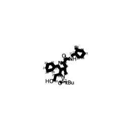 CC(C)(C)[S@@+]([O-])N1Cc2cc(C(=O)NCc3ccccc3F)nc(-c3ccccc3)c2C1CCO